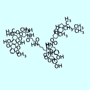 COc1cccc2c1C(=O)c1c(O)c3c(c(O)c1C2=O)C[C@@](O)(C(C)=O)C[C@@H]3O[C@H]1C[C@H](NC(=O)CCC(=O)NCCCC[C@@H](NC(=O)C(Cc2ccc(O)cc2)NC(=O)OC2CCC3(C)C(=CCC4[C@@H]3CCC3(C)C([C@H](C)CCCC(C)C)CC[C@@H]43)C2)C(=O)NC(Cc2ccc(O)cc2)C(=O)O)[C@H](O)[C@H](C)O1